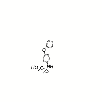 O=C(O)C1(Nc2ccc(Oc3ccccc3)cc2)CC1